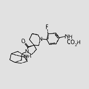 O=C(O)Nc1ccc(N2CCCC3(CCN(C45CC6CC(C4)C(O)C(C6)C5)C3=O)C2)c(F)c1